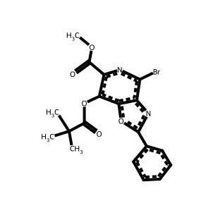 COC(=O)c1nc(Br)c2nc(-c3ccccc3)oc2c1OC(=O)C(C)(C)C